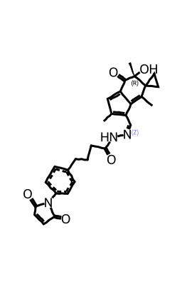 CC1=C(/C=N\NC(=O)CCCc2ccc(N3C(=O)C=CC3=O)cc2)C2=C(C)C3(CC3)[C@@](C)(O)C(=O)C2=C1